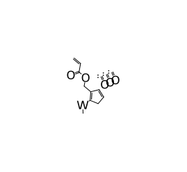 C=CC(=O)OCC1=[C]([W][CH3])CC=C1.[C]=O.[C]=O.[C]=O